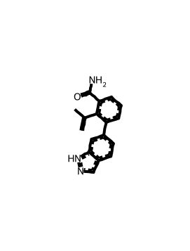 C=C(C)c1c(C(N)=O)cccc1-c1ccc2cn[nH]c2c1